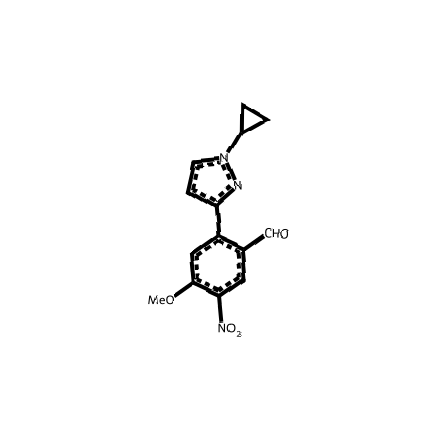 COc1cc(-c2ccn(C3CC3)n2)c(C=O)cc1[N+](=O)[O-]